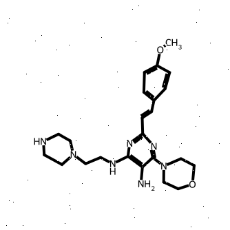 COc1ccc(C=Cc2nc(NCCN3CCNCC3)c(N)c(N3CCOCC3)n2)cc1